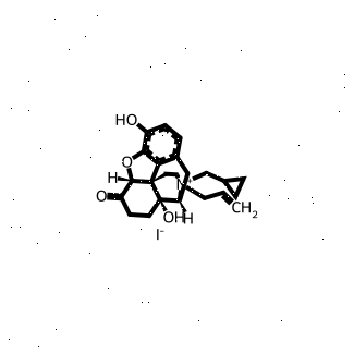 C=CC[N+]1(CC2CC2)CC[C@]23c4c5ccc(O)c4O[C@H]2C(=O)CC[C@@]3(O)[C@H]1C5.[I-]